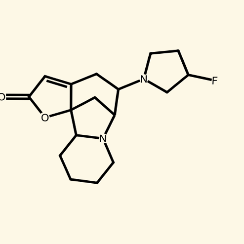 O=C1C=C2CC(N3CCC(F)C3)C3CC2(O1)C1CCCCN31